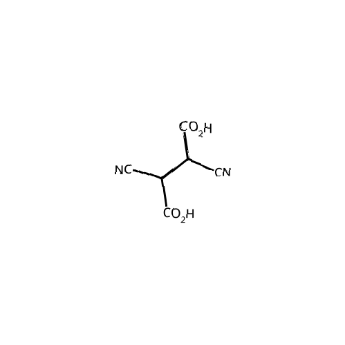 N#CC(C(=O)O)C(C#N)C(=O)O